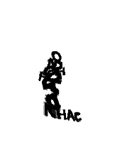 CC(=O)Nc1ccc(C=C2CC[C@H]3[C@@H]4CCC5N(C)C(=O)CC[C@]5(C)[C@@H]4CC[C@]23C)cc1